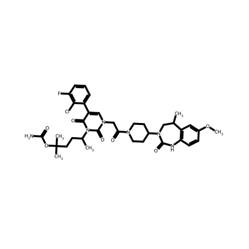 COc1ccc2c(c1)C(C)CN(C1CCN(C(=O)Cn3cc(-c4cccc(F)c4Cl)c(=O)n(C(C)CCC(C)(C)OC(N)=O)c3=O)CC1)C(=O)N2